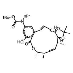 CCCN(C(=O)OC(C)(C)C)c1cc(O)c2c(c1)/C=C/C[C@@H]1OC(C)(C)O[C@@H]1[C@H](C)/C=C\[C@@H](C)[C@H](C)OC2=O